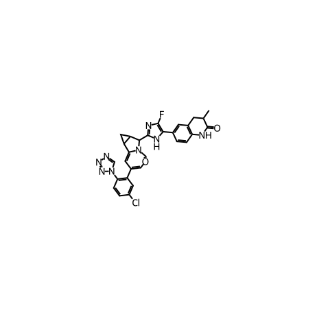 C/C=C(\C=C1\C2CC2C(c2nc(F)c(-c3ccc4c(c3)CC(C)C(=O)N4)[nH]2)N1C=O)c1cc(Cl)ccc1-n1cnnn1